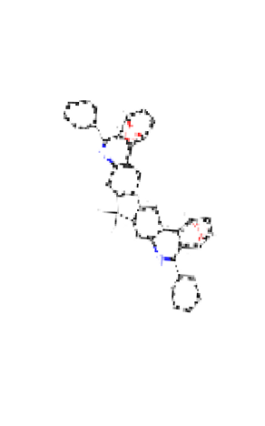 CC1(C)c2cc3nc(-c4ccccc4)c4c5ccc(o5)c4c3cc2-c2cc3c(cc21)nc(-c1ccccc1)c1c2ccc(o2)c31